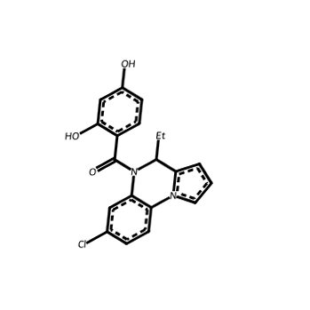 CCC1c2cccn2-c2ccc(Cl)cc2N1C(=O)c1ccc(O)cc1O